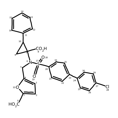 O=C(O)c1ccc(CN(C2(C(=O)O)CC2c2ccccc2)S(=O)(=O)c2ccc(-c3ccc(Cl)cc3)cc2)o1